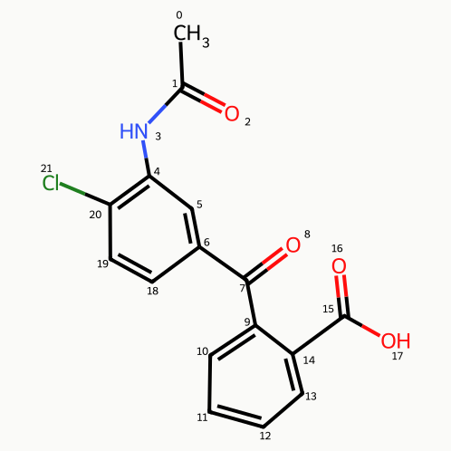 CC(=O)Nc1cc(C(=O)c2ccccc2C(=O)O)ccc1Cl